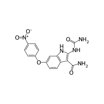 NC(=O)Nc1[nH]c2cc(Oc3ccc([N+](=O)[O-])cc3)ccc2c1C(N)=O